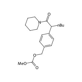 CCCCC(C(=O)N1CCCCC1)c1ccc(COC(=O)OC)cc1